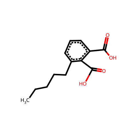 CCCCCc1cccc(C(=O)O)c1C(=O)O